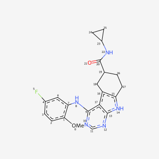 COc1ccc(F)cc1Nc1ncnc2[nH]c3c(c12)CC(C(=O)NC1CC1)CC3